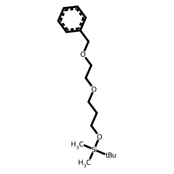 CC(C)(C)[Si](C)(C)OCCCOCCOCc1ccccc1